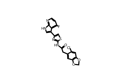 O=C(Cc1cc2c(cc1Cl)OCO2)Nc1nc(-c2c[nH]c3nccc(F)c23)cs1